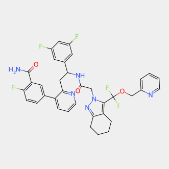 NC(=O)c1cc(-c2cccnc2CC(NC(=O)Cn2nc3c(c2C(F)(F)OCc2ccccn2)CCCC3)c2cc(F)cc(F)c2)ccc1F